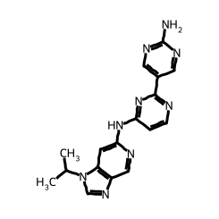 CC(C)n1cnc2cnc(Nc3ccnc(-c4cnc(N)nc4)n3)cc21